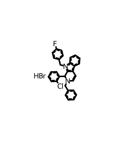 Br.Fc1ccc(Cn2c3c(c4ccccc42)C=CN(Cc2ccccc2)C3c2ccccc2Cl)cc1